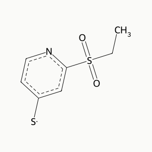 CCS(=O)(=O)c1cc([S])ccn1